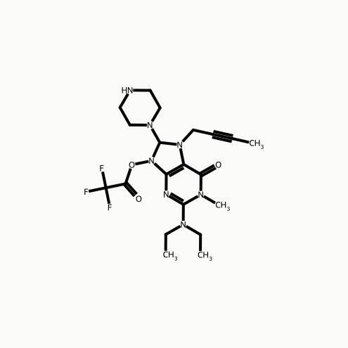 CC#CCN1c2c(nc(N(CC)CC)n(C)c2=O)N(OC(=O)C(F)(F)F)C1N1CCNCC1